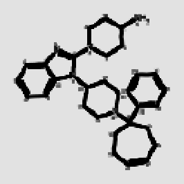 NC1CCN(c2nc3ccccc3n2C2CCN(C3(c4ccccc4)CCC=CCC3)CC2)CC1